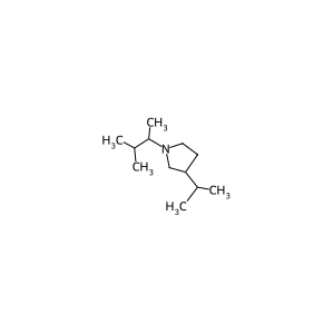 CC(C)C1CCN(C(C)C(C)C)C1